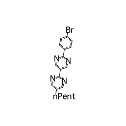 CCCCCc1cnc(-c2cnc(-c3ccc(Br)cc3)nc2)nc1